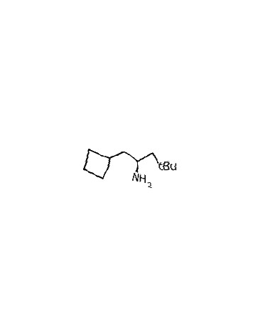 CC(C)(C)C[C@@H](N)CC1CCC1